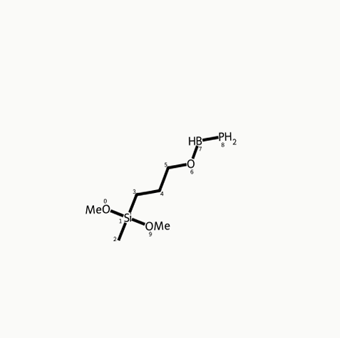 CO[Si](C)(CCCOBP)OC